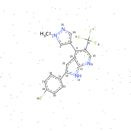 Cn1cc(-c2c(C(F)(F)F)cnc3[nH]c(-c4ccc(F)cc4)cc23)cn1